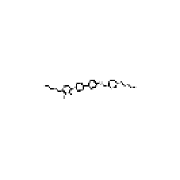 CCCCCc1ccc(-c2ccc(-c3ccc(OCC4CCC(CCCCC)CC4)cc3)cc2)c(F)c1F